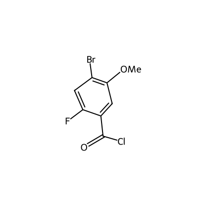 COc1cc(C(=O)Cl)c(F)cc1Br